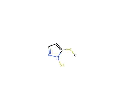 CSc1ccnn1S